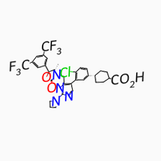 C[C@H]1C(c2cc(C(F)(F)F)cc(C(F)(F)F)c2)OC(=O)N1Cc1nc(N2CCC2)ncc1-c1cc([C@H]2CC[C@H](C(=O)O)CC2)ccc1Cl